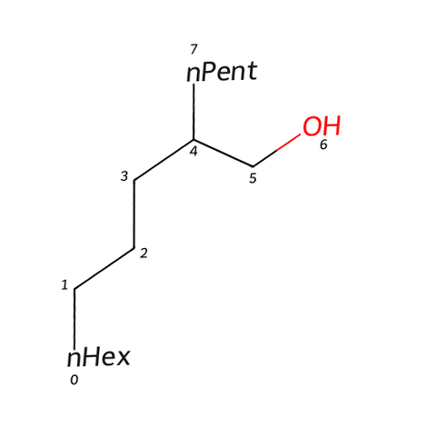 CCCCCCCCCC(CO)CCCCC